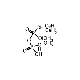 O.O.O=P(O)(O)OP(=O)(O)O.[CaH2].[CaH2]